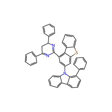 c1ccc(C2=NC(c3cc(-n4c5ccccc5c5cccc(-c6ccccc6)c54)cc4sc5ccccc5c34)=NC(c3ccccc3)C2)cc1